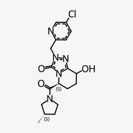 C[C@H]1CCN(C(=O)[C@@H]2CCC(O)c3nn(Cc4ccc(Cl)cn4)c(=O)n32)C1